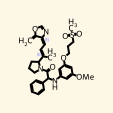 C=c1ocn/c1=C/C=C(\C)C1CCCN1C(=O)C(Nc1cc(OC)cc(OCCCS(C)(=O)=O)c1)c1ccccc1